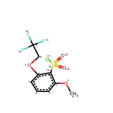 COc1cccc(OCC(F)(F)F)c1S(=O)(=O)Cl